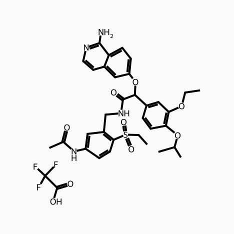 CCOc1cc(C(Oc2ccc3c(N)nccc3c2)C(=O)NCc2cc(NC(C)=O)ccc2S(=O)(=O)CC)ccc1OC(C)C.O=C(O)C(F)(F)F